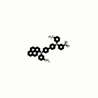 CCN(CC)c1cccc(N(c2ccc(-c3ccc(N(c4cccc(C)c4)c4ccc5ccc6cccc7ccc4c5c67)cc3)cc2)c2cccc(C)c2)c1